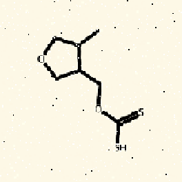 CC1COCC1COC(=S)S